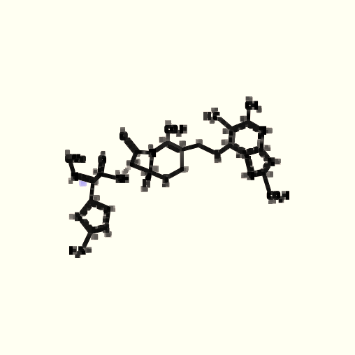 CO/N=C(\C(=O)N[C@@H]1C(=O)N2C(C(=O)O)=C(CSc3c(C)c(C)nc4nc(C(=O)O)nn34)CS[C@H]12)c1csc(N)n1